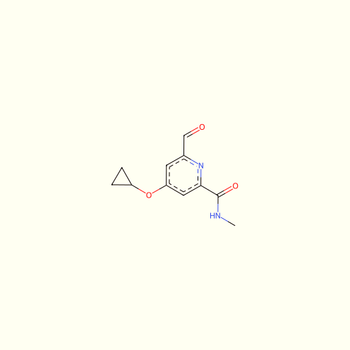 CNC(=O)c1cc(OC2CC2)cc(C=O)n1